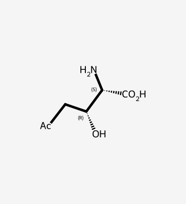 CC(=O)C[C@@H](O)[C@H](N)C(=O)O